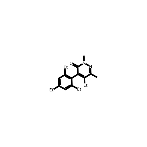 CCc1cc(CC)c(-c2c(CC)c(C)nn(C)c2=O)c(CC)c1